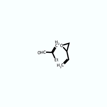 C=C(C=O)CC.C=CC1CO1